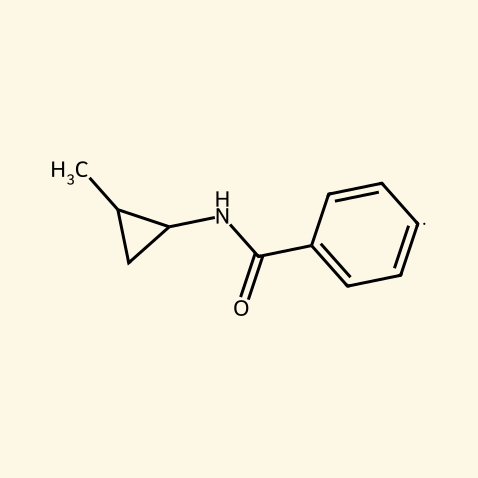 CC1CC1NC(=O)c1cc[c]cc1